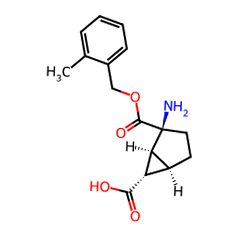 Cc1ccccc1COC(=O)[C@]1(N)CC[C@H]2[C@H](C(=O)O)[C@H]21